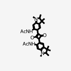 CC(=O)NC1=CC2=[N+](C)C(C)C(C)(C)C2=CC1C1=C([O-])C(c2cc3c(cc2NC(C)=O)N(C)C(C)C3(C)C)C1=O